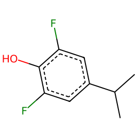 CC(C)c1cc(F)c(O)c(F)c1